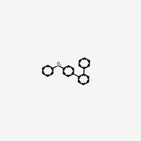 c1ccc([SiH2]c2ccc(-c3ccccc3-c3ccccc3)cc2)cc1